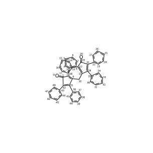 O=C1C(c2ccccc2)=C(CC2=C(c3ccccc3)C(=O)C(c3ccccc3)=C2c2ccccc2)C(c2ccccc2)=C1c1ccccc1